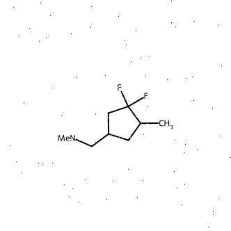 CNCC1CC(C)C(F)(F)C1